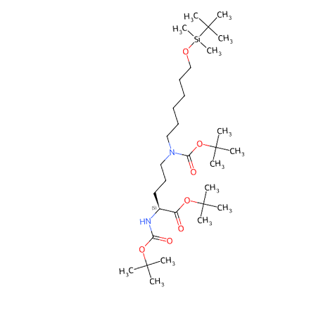 CC(C)(C)OC(=O)N[C@@H](CCCN(CCCCCCO[Si](C)(C)C(C)(C)C)C(=O)OC(C)(C)C)C(=O)OC(C)(C)C